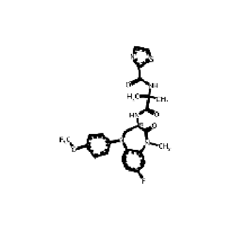 CN1C(=O)[C@H](NC(=O)C(C)(C)NC(=O)c2nccs2)CN(c2ccc(OC(F)(F)F)cc2)c2ccc(F)cc21